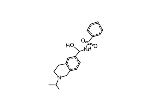 CC(C)N1CCc2cc(C(O)NS(=O)(=O)c3ccccc3)ccc2C1